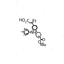 CC[C@@H](CC(=O)O)c1ccc(C2CCN(C(=O)OC(C)(C)C)CC2)c(Nc2cnc(C)nc2)c1